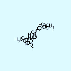 COC(=O)CC(NC(=O)[C@@H]1CCCN(C(=O)CCC2CCN(C(=O)OC(C)(C)C)CC2)C1)c1cncc(OCCI)c1